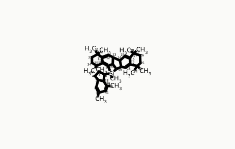 CC1=CC2CCC([Si]3(C)C4=C5C(=CC6C7C=C8C(=CC7C3C46)C(C)(C)CCC8(C)C)C(C)(C)CCC5(C)C)C2C(C)=C1